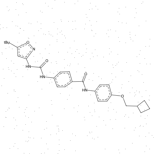 CC(C)(C)c1cc(NC(=O)Nc2ccc(C(=O)Nc3ccc(OCC4CCC4)cc3)cc2)no1